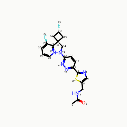 CC(=O)NCc1cnc(-c2ccc(NC[C@]3(c4ncccc4F)C[C@@H](F)C3)nn2)s1